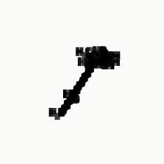 BCCCCCCC(=O)NCCCCCCCCCCCC(=O)N[C@@H](COC1OC(CO)[C@H](O)[C@H](O)C1O)[C@H](O)[C@H](O)CC